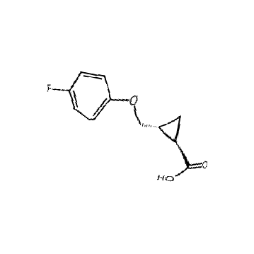 O=C(O)[C@@H]1C[C@H]1COc1ccc(F)cc1